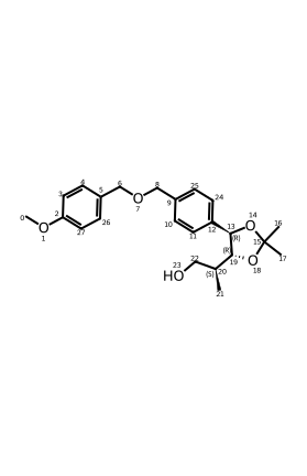 COc1ccc(COCc2ccc([C@H]3OC(C)(C)O[C@@H]3[C@@H](C)CO)cc2)cc1